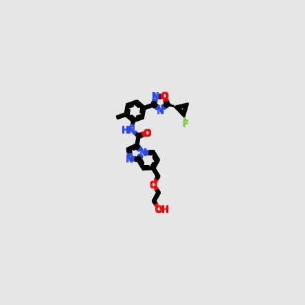 Cc1ccc(-c2noc([C@@H]3C[C@@H]3F)n2)cc1NC(=O)c1cnc2cc(COCCO)ccn12